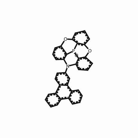 O=P12c3c4cccc3Oc3cccc(c31)N(c1ccc3c5ccccc5c5ccccc5c3c1)c1cccc(c12)O4